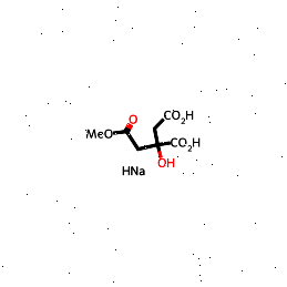 COC(=O)CC(O)(CC(=O)O)C(=O)O.[NaH]